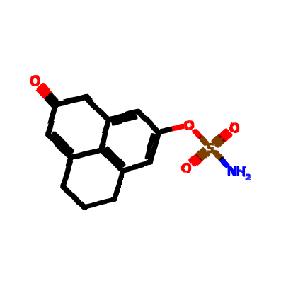 NS(=O)(=O)Oc1cc2c3c(c1)CC(=O)C=C3CCC2